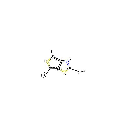 CCCCCc1nc2c(C)sc(C(F)(F)F)c2s1